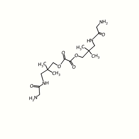 CC(C)(CNC(=O)CN)COC(=O)C(=O)OCC(C)(C)CNC(=O)CN